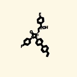 C=Cc1ccc(-c2ccc([C@@H]3[C@@H](CC[C@H](O)c4ccc(F)cc4)C(=O)N3c3ccc(F)cc3)cc2)cc1